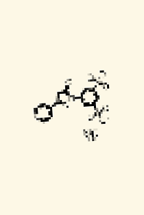 O=c1cc(-c2ccncc2)[nH]n1-c1cc(S(=O)(=O)[O-])cc(S(=O)(=O)[O-])c1.[Na+].[Na+]